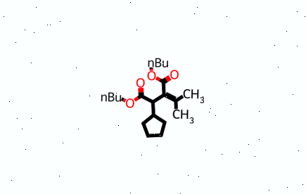 CCCCOC(=O)C(=C(C)C)C(C(=O)OCCCC)C1CCCC1